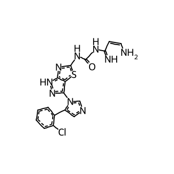 N=C(/C=C\N)NC(=O)Nc1nc2[nH]nc(-n3cncc3-c3ccccc3Cl)c2s1